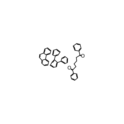 O=C(CCCCC(=O)c1ccccc1)c1ccccc1.c1ccc(-c2ccccc2-c2ccccc2)cc1.c1ccc2c(c1)ccc1ccccc12